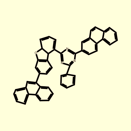 C1=CC2Oc3cc(-c4cc5ccccc5c5ccccc45)ccc3C2C(c2nc(-c3ccccc3)nc(-c3ccc4c(ccc5ccccc54)c3)n2)=C1